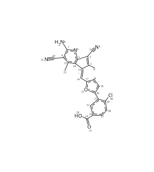 CC1=C(C#N)c2nc(N)c(C#N)c(C)c2/C1=C/c1ccc(-c2cc(C(=O)O)ccc2Cl)o1